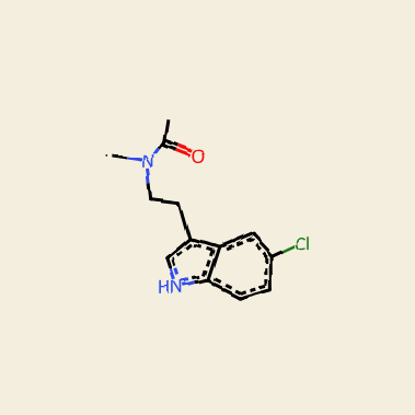 [CH2]N(CCc1c[nH]c2ccc(Cl)cc12)C(C)=O